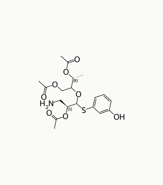 CC(=O)OCC(OC(Sc1cccc(O)c1)[C@H](CN)OC(C)=O)[C@@H](C)OC(C)=O